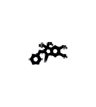 Cc1cc2c(cc1C)C(C)(C)/C(=C/c1ccccc1)C2=O